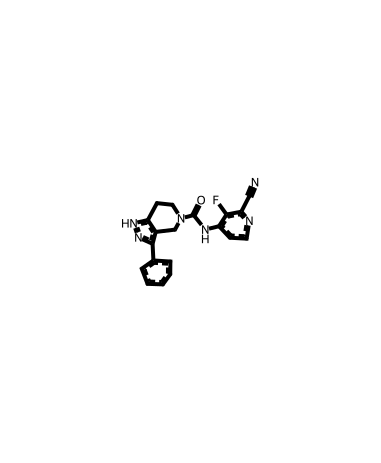 N#Cc1nccc(NC(=O)N2CCc3[nH]nc(-c4ccccc4)c3C2)c1F